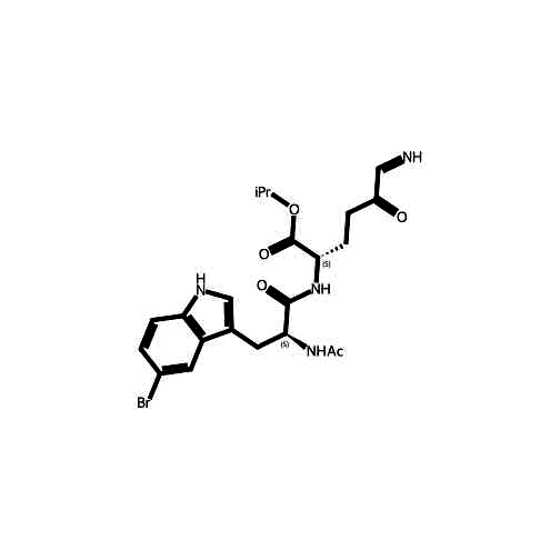 CC(=O)N[C@@H](Cc1c[nH]c2ccc(Br)cc12)C(=O)N[C@@H](CCC(=O)C=N)C(=O)OC(C)C